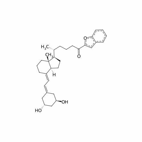 C[C@H](CCCC(=O)c1cc2ccccc2o1)[C@H]1CC[C@H]2/C(=C/C=C3C[C@@H](O)C[C@H](O)C3)CCC[C@]12C